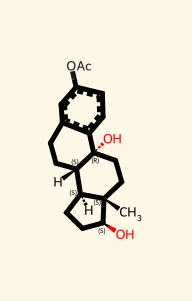 CC(=O)Oc1ccc2c(c1)CC[C@H]1[C@@H]3CC[C@H](O)[C@@]3(C)CC[C@]21O